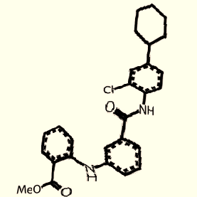 COC(=O)c1ccccc1Nc1cccc(C(=O)Nc2ccc(C3CCCCC3)cc2Cl)c1